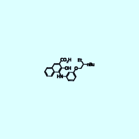 CCCCC(CC)COc1cccc(Nc2c(O)c(C(=O)O)cc3ccccc23)c1